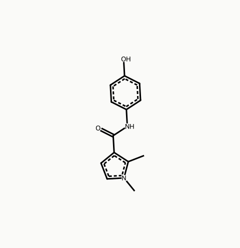 Cc1c(C(=O)Nc2ccc(O)cc2)ccn1C